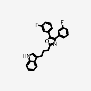 Fc1cccc(-c2nc(CCCc3c[nH]c4ccccc34)oc2-c2cccc(F)c2)c1